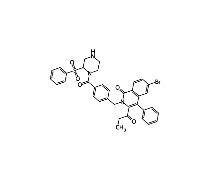 CCC(=O)c1c(-c2ccccc2)c2cc(Br)ccc2c(=O)n1Cc1ccc(C(=O)N2CCNCC2S(=O)(=O)c2ccccc2)cc1